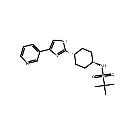 CC(C)(C)S(=O)(=O)N[C@H]1CC[C@H](c2nc(-c3cccnc3)c[nH]2)CC1